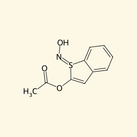 CC(=O)OC1=Cc2ccccc2S1=NO